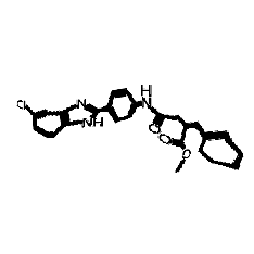 COC(=O)C(CC(=O)Nc1ccc(-c2nc3cc(Cl)ccc3[nH]2)cc1)CC1CCCCC1